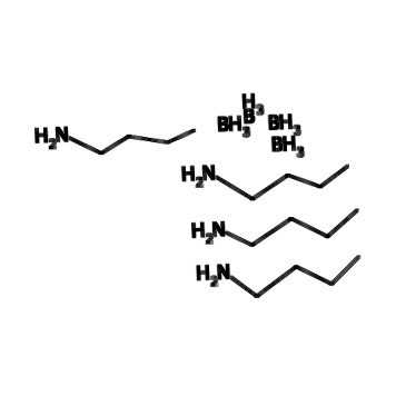 B.B.B.B.CCCCN.CCCCN.CCCCN.CCCCN